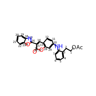 CC(=O)OCCc1ccccc1Nc1ccc2cc(-c3nc4ccccc4o3)c(=O)oc2c1